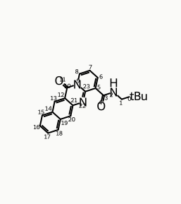 CC(C)(C)CNC(=O)c1cccn2c(=O)c3cc4ccccc4cc3nc12